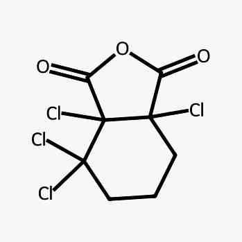 O=C1OC(=O)C2(Cl)C(Cl)(Cl)CCCC12Cl